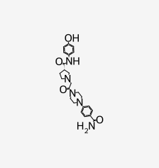 NC(=O)c1ccc(N2CCN(C(=O)CN3CC[C@H](C(=O)Nc4ccc(O)cc4)C3)CC2)cc1